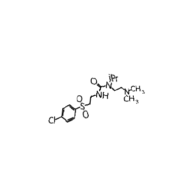 CC(C)N(CCN(C)C)C(=O)NCCS(=O)(=O)c1ccc(Cl)cc1